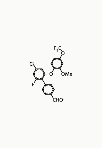 COc1cc(OC(F)(F)F)ccc1Oc1cc(Cl)cc(F)c1-c1ccc([C]=O)cc1